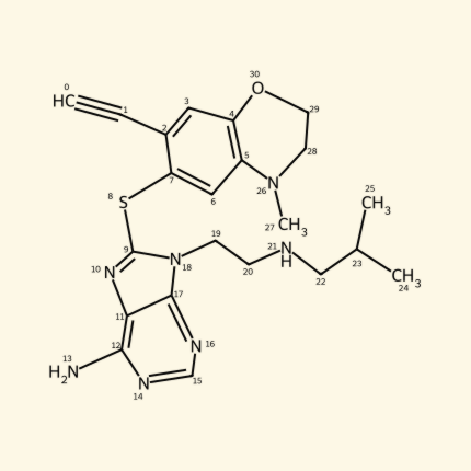 C#Cc1cc2c(cc1Sc1nc3c(N)ncnc3n1CCNCC(C)C)N(C)CCO2